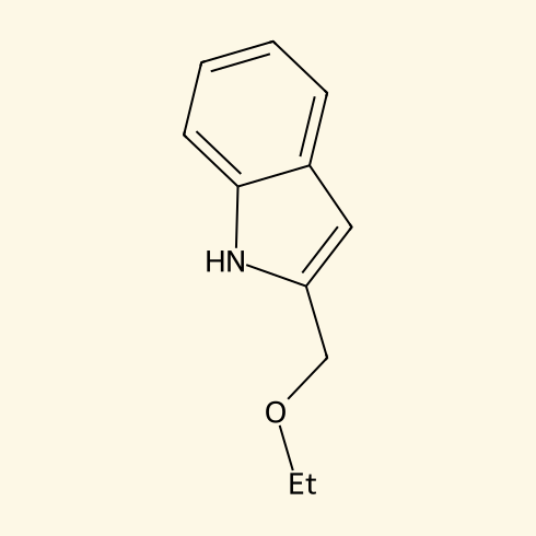 CCOCc1cc2ccccc2[nH]1